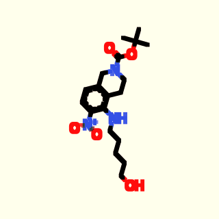 CC(C)(C)OC(=O)N1CCc2c(ccc([N+](=O)[O-])c2NCCCCCO)C1